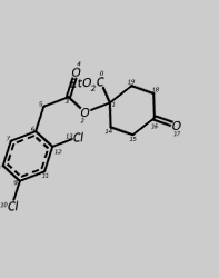 CCOC(=O)C1(OC(=O)Cc2ccc(Cl)cc2Cl)CCC(=O)CC1